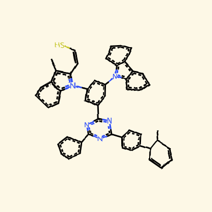 Cc1c(/C=C\S)n(-c2cc(-c3nc(-c4ccccc4)nc(-c4ccc(C5C=CC=CC5C)cc4)n3)cc(-n3c4ccccc4c4ccccc43)c2)c2ccccc12